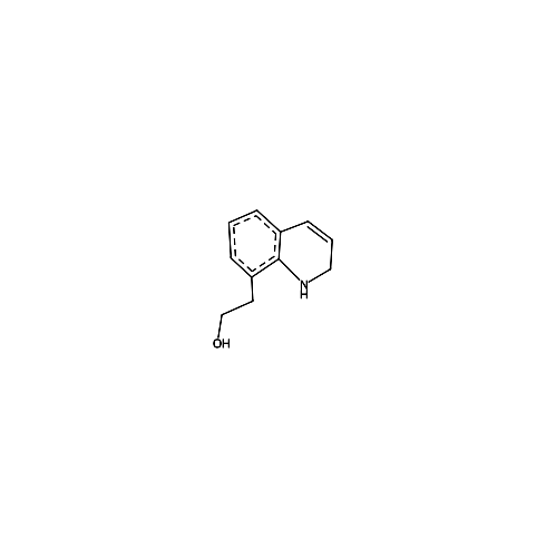 OCCc1cccc2c1NCC=C2